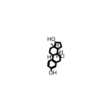 C[C@]12CC[C@@H]3c4ccc(O)cc4CC[C@H]3[C@@H]1CC[C@@H]2O.Cl